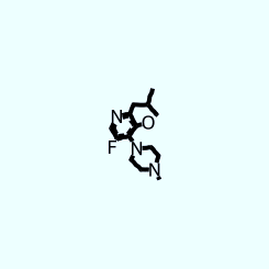 CC1COc2c(ncc(F)c2N2CCN(C)CC2)C1